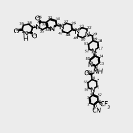 N#Cc1ccc(N2CCC(C(=O)Nc3ccc(N4CCC(CN5CCN(C6CCN(c7ccc8c(n7)CN(C7CCC(=O)NC7=O)C8=O)CC6)CC5)CC4)cn3)CC2)cc1C(F)(F)F